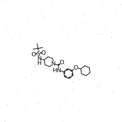 CC(C)(C)S(=O)(=O)NC1CCN(C(=O)Nc2cccc(OC3CCCCC3)c2)CC1